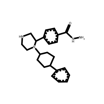 NNC(=O)c1ccc(C2CNCCN2C2CCC(c3ccccc3)CC2)cc1